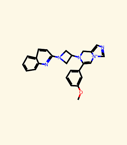 COc1cccc(C2=C[N+]3C=NC=C3CN2C2CN(c3ccc4ccccc4n3)C2)c1